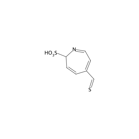 O=S(=O)(O)C1C=CC(C=S)=CC=N1